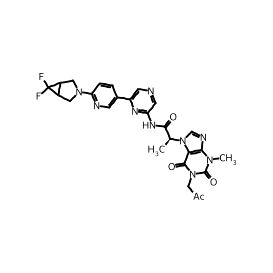 CC(=O)Cn1c(=O)c2c(ncn2[C@@H](C)C(=O)Nc2cncc(-c3ccc(N4CC5C(C4)C5(F)F)nc3)n2)n(C)c1=O